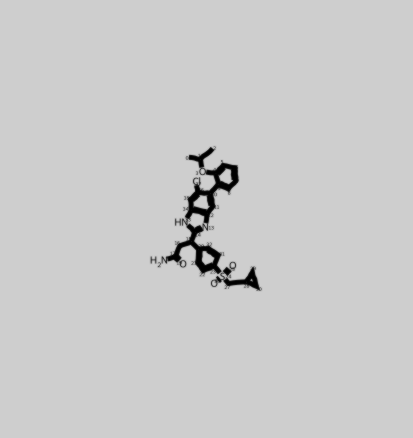 CC(C)Oc1ccccc1-c1cc2nc(C(CC(N)=O)C3=C=C=C(S(=O)(=O)CC4CC4)C=C3)[nH]c2cc1Cl